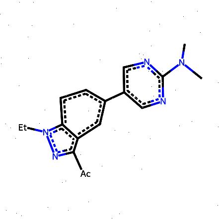 CCn1nc(C(C)=O)c2cc(-c3cnc(N(C)C)nc3)ccc21